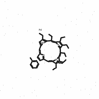 CCC1=C(CC)c2nc1c(CC)c1[nH]c(cc3nc(cc4c(CC)c(CC)c(c2CC)n4CC)C=C3)cc1CC.Cc1ccccc1.[Pd]